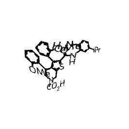 COc1ccccc1-c1c(C(=O)Nc2cc(C(C)C)ccc2N)sc2c1C(c1ccccc1OC)CN(C(=O)O)C2